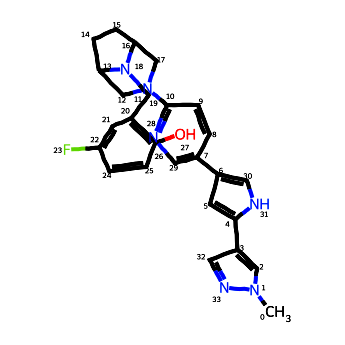 Cn1cc(-c2cc(-c3ccc(N4CC5CCC(C4)N5Cc4cc(F)ccc4O)nc3)c[nH]2)cn1